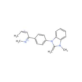 C=C1N(C)c2ccccc2N1c1ccc(C(/C=C\C)=N/C)cc1